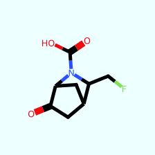 O=C1CC2CC1N(C(=O)O)C2CF